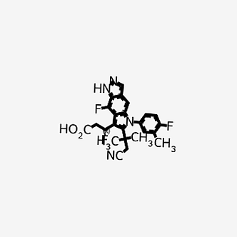 Cc1cc(-n2c(C(C)(C)CC#N)c([C@H](F)CC(=O)O)c3c(F)c4[nH]ncc4cc32)ccc1F